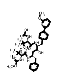 COC(=O)N[C@H](C(=O)N[C@@H](Cc1ccccc1)C[C@H](O)[C@H](Cc1ccc(-c2cccc(OC)n2)cc1)NC(=O)[C@H](NC(=O)O)C(C)(C)C)C(C)(C)C